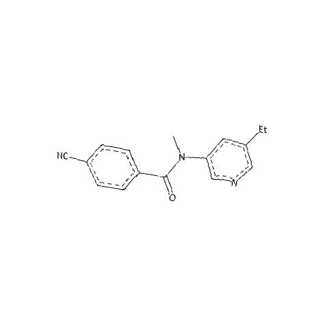 [CH2]Cc1cncc(N(C)C(=O)c2ccc(C#N)cc2)c1